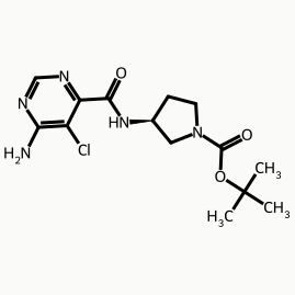 CC(C)(C)OC(=O)N1CC[C@H](NC(=O)c2ncnc(N)c2Cl)C1